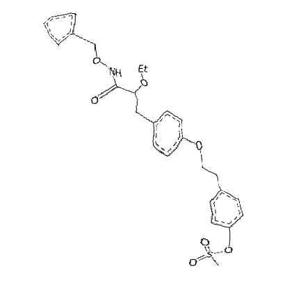 CCOC(Cc1ccc(OCCc2ccc(OS(C)(=O)=O)cc2)cc1)C(=O)NOCc1ccccc1